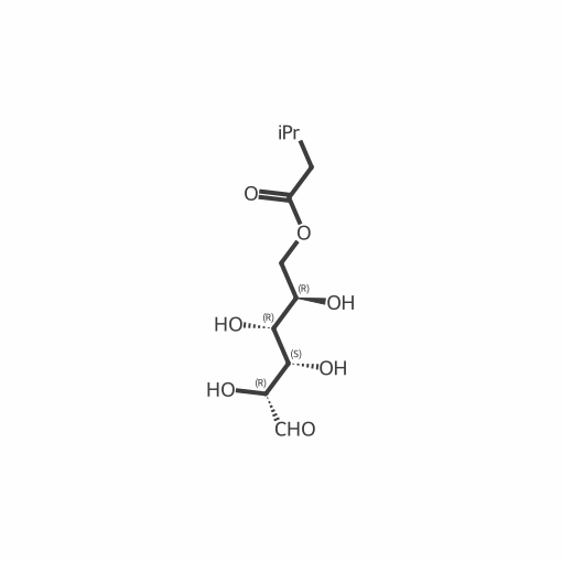 CC(C)CC(=O)OC[C@@H](O)[C@@H](O)[C@H](O)[C@@H](O)C=O